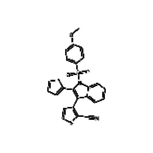 COc1ccc(S(=O)(=O)n2c(-c3cccs3)c(-c3ccsc3C#N)c3ccccc32)cc1